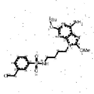 CCCCOc1nc(N)c2nc(OC)n(CCCCNS(=O)(=O)c3cccc(CCl)c3)c2n1